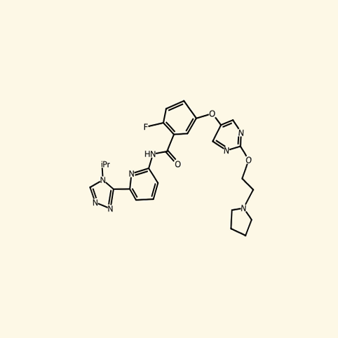 CC(C)n1cnnc1-c1cccc(NC(=O)c2cc(Oc3cnc(OCCN4CCCC4)nc3)ccc2F)n1